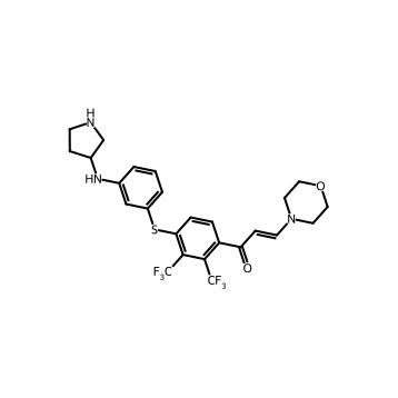 O=C(C=CN1CCOCC1)c1ccc(Sc2cccc(NC3CCNC3)c2)c(C(F)(F)F)c1C(F)(F)F